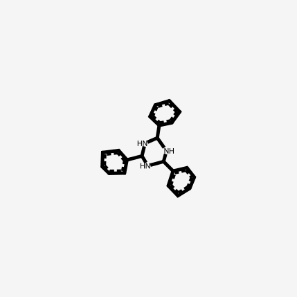 c1ccc(C2NC(c3ccccc3)NC(c3ccccc3)N2)cc1